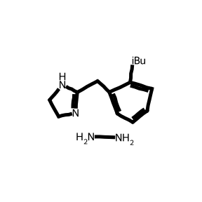 CCC(C)c1ccccc1CC1=NCCN1.NN